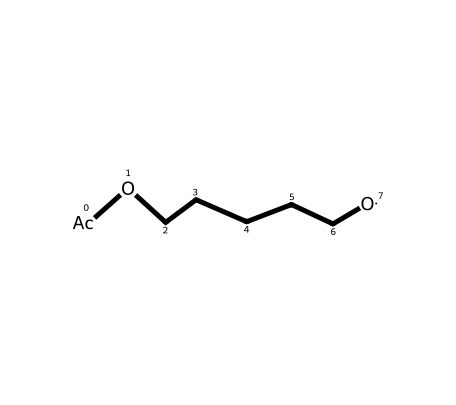 CC(=O)OCCCCC[O]